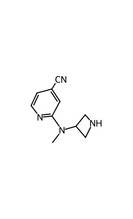 CN(c1cc(C#N)ccn1)C1CNC1